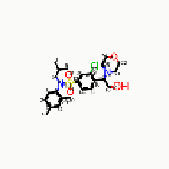 Cc1ccc(N(CC(C)C)S(=O)(=O)c2ccc(C(CO)N3CCOCC3)c(Cl)c2)c(C)c1